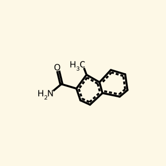 Cc1c(C(N)=O)ccc2ccccc12